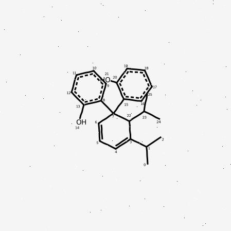 CC(C)C1=CC=CC(c2ccccc2O)(c2ccccc2O)C1C(C)C